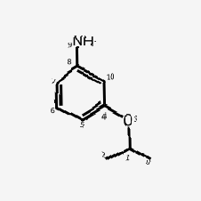 CC(C)Oc1cccc([NH])c1